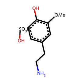 COc1cc(CCN)ccc1O.O=S(=O)(O)O